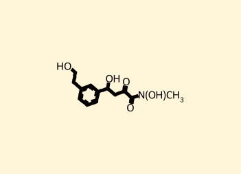 CN(O)C(=O)C(=O)CC(O)c1cccc(CCO)c1